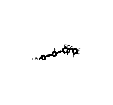 CCCCc1ccc(C#Cc2ccc(C#Cc3cc(F)c(C(F)(F)Oc4cc(F)c(F)c(F)c4)c(F)c3)c(F)c2)cc1